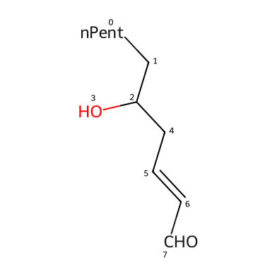 CCCCCCC(O)CC=CC=O